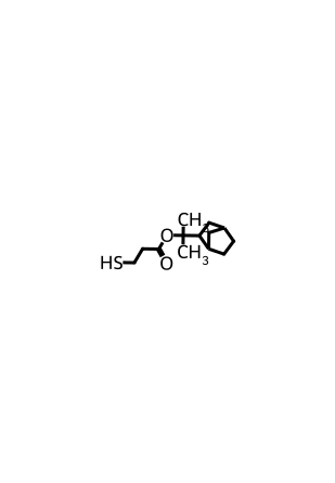 CC(C)(OC(=O)CCS)C1CC2CCC1C2